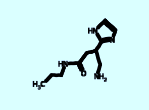 CCCNC(=O)CC(CN)c1ncc[nH]1